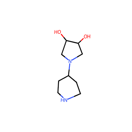 OC1CN(C2CCNCC2)CC1O